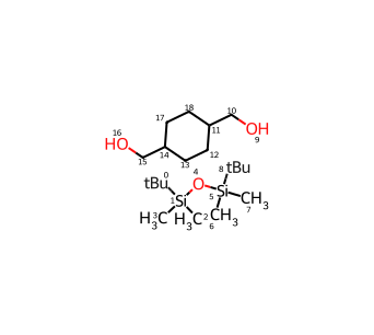 CC(C)(C)[Si](C)(C)O[Si](C)(C)C(C)(C)C.OCC1CCC(CO)CC1